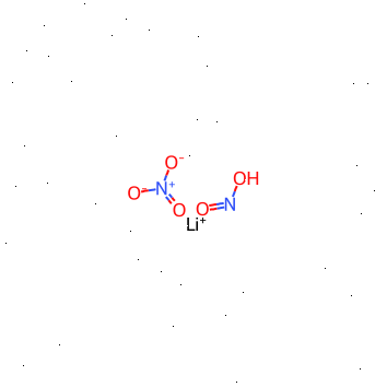 O=NO.O=[N+]([O-])[O-].[Li+]